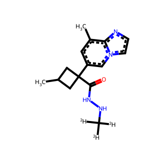 [2H]C([2H])([2H])NNC(=O)C1(c2cc(C)c3nccn3c2)CC(C)C1